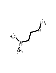 CNCC[SiH](C)C